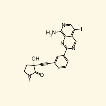 CN1CC[C@@](O)(C#Cc2cccc(-c3ncc4c(I)cnc(N)c4n3)c2)C1=O